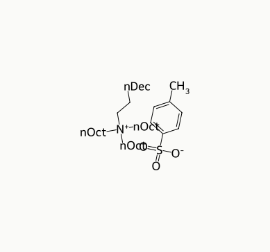 CCCCCCCCCCCC[N+](CCCCCCCC)(CCCCCCCC)CCCCCCCC.Cc1ccc(S(=O)(=O)[O-])cc1